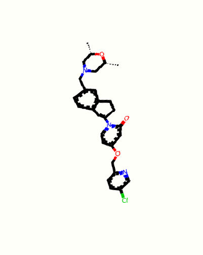 C[C@@H]1CN(Cc2ccc3c(c2)CCC(n2ccc(OCc4ccc(Cl)cn4)cc2=O)=C3)C[C@H](C)O1